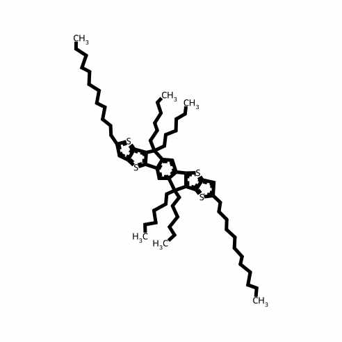 CCCCCCCCCCCCc1cc2sc3c(c2s1)C(CCCCCC)(CCCCCC)c1cc2c(cc1-3)C(CCCCCC)(CCCCCC)c1c-2sc2cc(CCCCCCCCCCCC)sc12